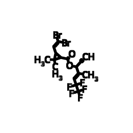 C#CC(OC(=O)C1C(C=C(Br)Br)C1(C)C)C(C)=CC(F)(F)C(F)(F)F